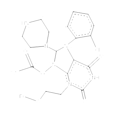 CCOCCn1c2c(c(=O)[nH]c1=O)N(c1ccccc1Cl)C(N1CCNCC1)N2OC(=O)C(F)(F)F